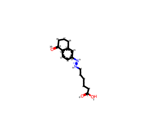 O=C(O)CCCCC/N=N/c1ccc2c(c1)CCCC2=O